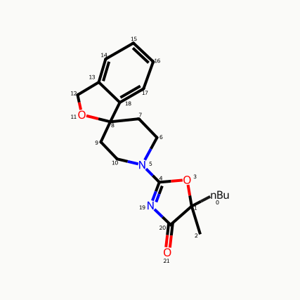 CCCCC1(C)OC(N2CCC3(CC2)OCc2ccccc23)=NC1=O